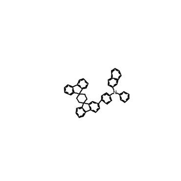 c1ccc(N(c2ccc(-c3ccc4c(c3)C3(CCC5(CC3)c3ccccc3-c3ccccc35)c3ccccc3-4)cc2)c2ccc3ccccc3c2)cc1